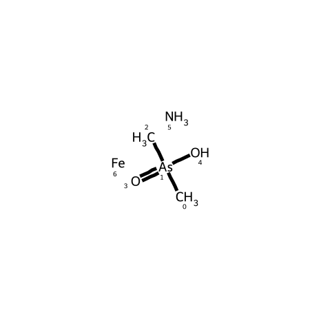 C[As](C)(=O)O.N.[Fe]